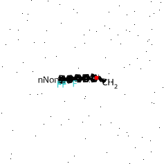 C=CCCC1CCC(C2CC=C(c3ccc(-c4ccc(-c5ccc(CCCCCCCCC)c(F)c5F)cc4)c(F)c3)CC2)CC1